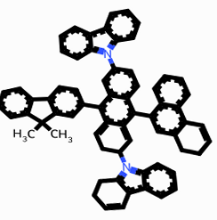 CC1(C)c2ccccc2-c2ccc(-c3c4c(c(-c5cc6c(c7ccccc57)C=CCC6)c5ccc(-n6c7ccccc7c7ccccc76)cc35)=CC(n3c5c(c6ccccc63)C=CCC5)CC=4)cc21